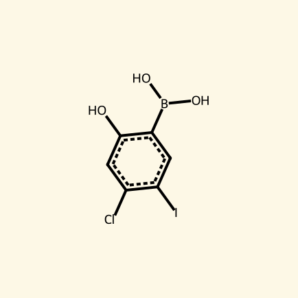 OB(O)c1cc(I)c(Cl)cc1O